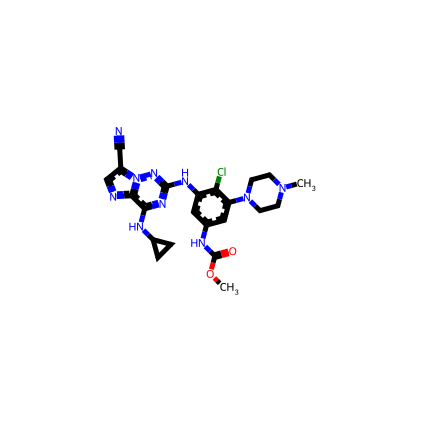 COC(=O)Nc1cc(Nc2nc(NC3CC3)c3ncc(C#N)n3n2)c(Cl)c(N2CCN(C)CC2)c1